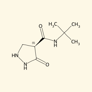 CC(C)(C)NC(=O)[C@@H]1CNNC1=O